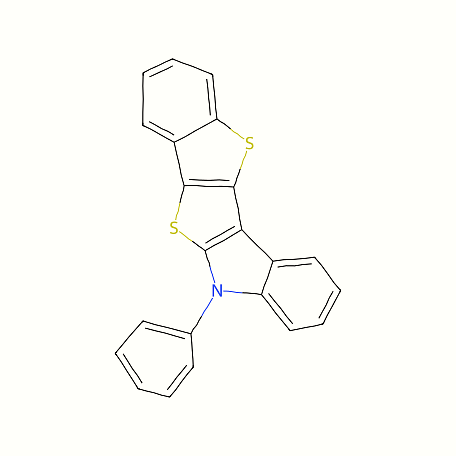 c1ccc(-n2c3ccccc3c3c4sc5ccccc5c4sc32)cc1